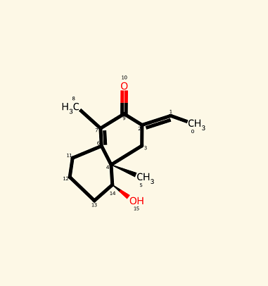 CC=C1C[C@@]2(C)C(=C(C)C1=O)CCC[C@@H]2O